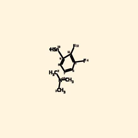 CN(C)C.Fc1ccc[c]([SnH])c1F